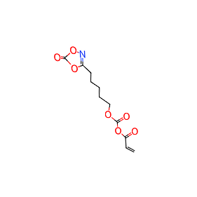 C=CC(=O)OC(=O)OCCCCCc1noc(=O)o1